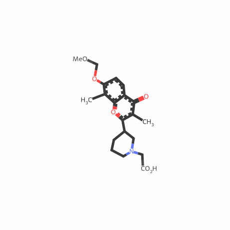 COCOc1ccc2c(=O)c(C)c(C3CCCN(CC(=O)O)C3)oc2c1C